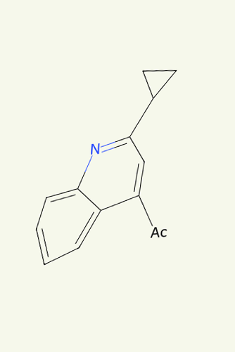 CC(=O)c1cc(C2CC2)nc2ccccc12